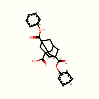 O=C(O)C12CC3CC(C(=O)Oc4ccccc4)(C1)CC(C(=O)Oc1ccccc1)(C3)C2